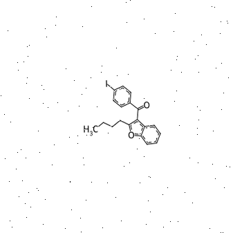 CCCCc1oc2ccccc2c1C(=O)c1ccc(I)cc1